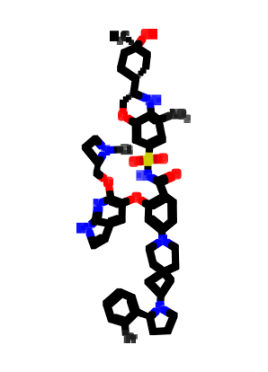 CCN1CC[C@@H]1COc1nc2[nH]ccc2cc1Oc1cc(N2CCC3(CC2)CC(N2CCC[C@H]2c2ccccc2C(C)C)C3)ccc1C(=O)NS(=O)(=O)c1cc2c(c([N+](=O)[O-])c1)N[C@@H]([C@H]1CC[C@](C)(O)CC1)CO2